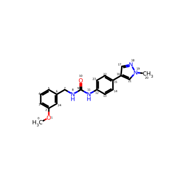 COc1cccc(CNC(=O)Nc2ccc(-c3cnn(C)c3)cc2)c1